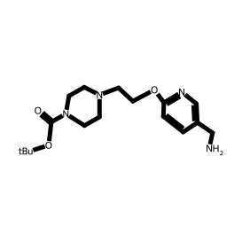 CC(C)(C)OC(=O)N1CCN(CCOc2ccc(CN)cn2)CC1